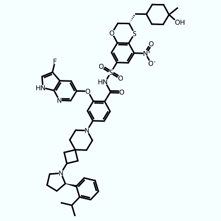 CC(C)c1ccccc1[C@H]1CCCN1C1CC2(CCN(c3ccc(C(=O)NS(=O)(=O)c4cc5c(c([N+](=O)[O-])c4)S[C@@H](CC4CCC(C)(O)CC4)CO5)c(Oc4cnc5[nH]cc(F)c5c4)c3)CC2)C1